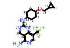 Nc1ncc(C(F)(F)F)c2nc(NC3CCC(OCC4CC4)CC3)ncc12